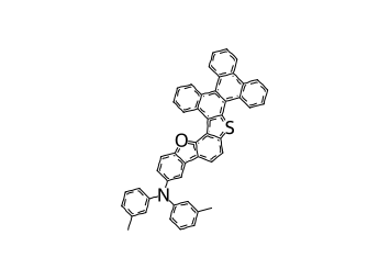 Cc1cccc(N(c2cccc(C)c2)c2ccc3oc4c(ccc5sc6c7c8ccccc8c8ccccc8c7c7ccccc7c6c54)c3c2)c1